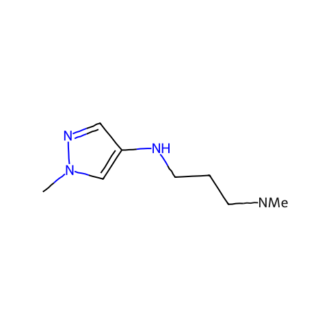 CNCCCNc1cnn(C)c1